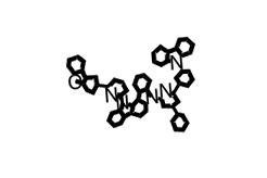 c1ccc(-c2cc(-c3cccc(-n4c5ccccc5c5ccccc54)c3)nc(-n3c4ccccc4c4c3ccc3c5ccccc5n(-c5cccc(-c6ccc7oc8ccccc8c7c6)n5)c34)c2)cc1